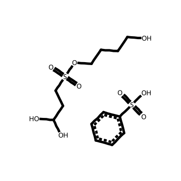 O=S(=O)(CCC(O)O)OCCCCO.O=S(=O)(O)c1ccccc1